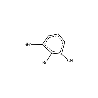 C[C](C)c1cccc(C#N)c1Br